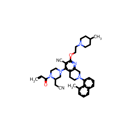 C=CC(=O)N1CCN(c2c(C#N)c(OCCN3CCC(C)CC3)nc3c2CCN(c2cccc4cccc(C)c24)C3)CC1CC#N